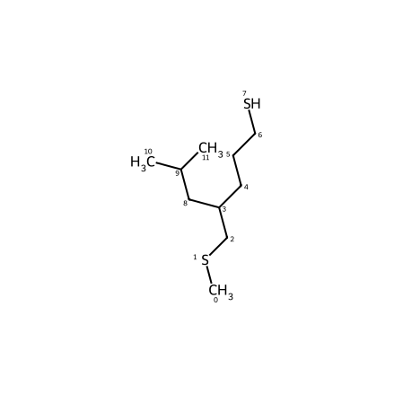 CSCC(CCCS)CC(C)C